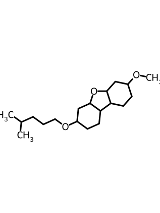 COC1CCC2C(C1)OC1CC(OCCCC(C)C)CCC12